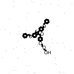 O=C(c1ccc(OCCOCCO)cc1)c1c(-c2ccc(OCc3ccccc3)cc2)sc2cc(OCc3ccccc3)ccc12